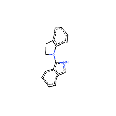 [c]1[nH]c(N2CCc3ccccc32)c2ccccc12